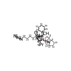 Cc1nnc(C(C)C)n1C1CC2CCC(C1)N2CC[C@H](NC(=O)CCCCN=[N+]=[N-])c1ccccc1